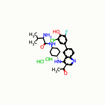 CC(=O)c1cnc2ccc(-c3cc(F)c(O)c(Cl)c3)cc2c1N[C@H]1CC[C@H](NC(=O)C(N)C(C)C)CC1.Cl.Cl